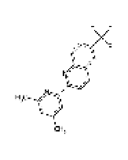 Cc1cc(C)nc(-c2ccc3cc(C(F)(F)F)ccc3n2)c1